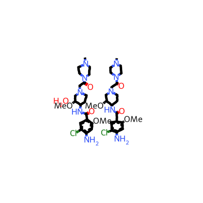 COc1cc(N)c(Cl)cc1C(=O)NC1CCN(CC(=O)N2CCN(C)CC2)CC1OC.COc1cc(N)c(Cl)cc1C(=O)NC1CCN(CC(=O)N2CCN(C)CC2)CC1OC.O